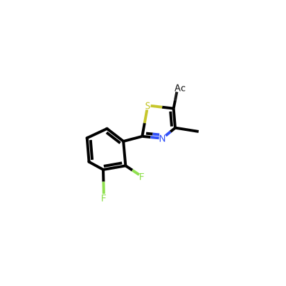 CC(=O)c1sc(-c2cccc(F)c2F)nc1C